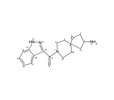 NC1COC2(CCN(C(=O)c3n[nH]c4ccccc34)CC2)C1